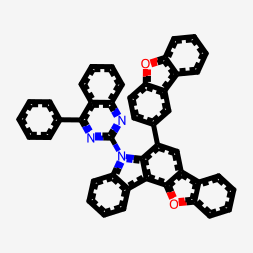 c1ccc(-c2nc(-n3c4ccccc4c4c5oc6ccccc6c5cc(-c5ccc6oc7ccccc7c6c5)c43)nc3ccccc23)cc1